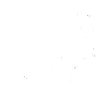 CCCNS(=O)(=O)c1ccc2c(c1)C(=Cc1cc3cc(CCCN(CC)CC)ccc3[nH]1)C(=O)N2